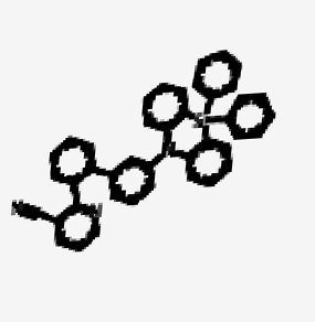 N#Cc1cccnc1-c1ccccc1-c1cccc(N2c3ccccc3[Si](c3ccccc3)(c3ccccc3)c3ccccc32)c1